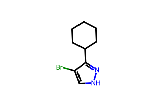 Brc1c[nH]nc1C1CCCCC1